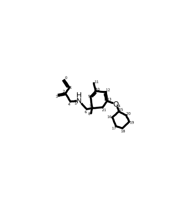 C=CC(=C)CNCC1(C)C=C(C)C=C(OC2CCCCC2)C1